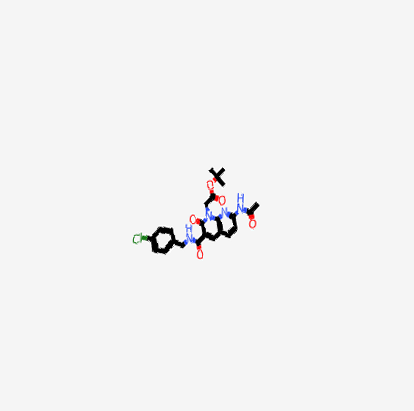 CC(=O)Nc1ccc2cc(C(=O)NCc3ccc(Cl)cc3)c(=O)n(CC(=O)OC(C)(C)C)c2n1